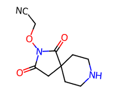 N#CCON1C(=O)CC2(CCNCC2)C1=O